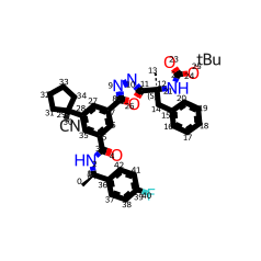 C[C@@H](NC(=O)c1cc(-c2nnc([C@](C)(Cc3ccccc3)NC(=O)OC(C)(C)C)o2)cc(C2(C#N)CCCC2)c1)c1ccc(F)cc1